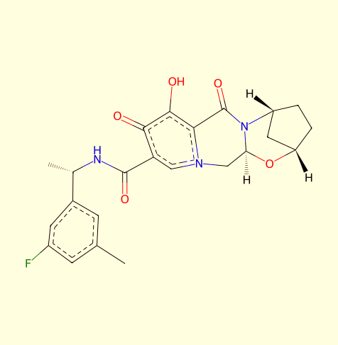 Cc1cc(F)cc([C@H](C)NC(=O)c2cn3c(c(O)c2=O)C(=O)N2[C@@H]4CC[C@@H](C4)O[C@H]2C3)c1